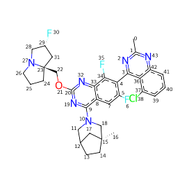 Cc1nc(-c2c(F)cc3c(N4CC5CC[C@@](C)(C5)C4)nc(OC[C@@]45CCCN4C[C@H](F)C5)nc3c2F)c2c(Cl)cccc2n1